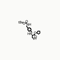 CC(C)CC(NCc1ccc(CNC(=O)OC(C)(C)C)cc1)C(=O)OC1CCCC1